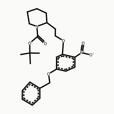 CC(C)(C)OC(=O)N1CCCCC1CCOc1cc(OCc2ccccc2)ccc1[N+](=O)[O-]